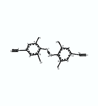 C#Cc1cc(C)c(/N=N/c2c(C)cc(C#C)cc2C)c(C)c1